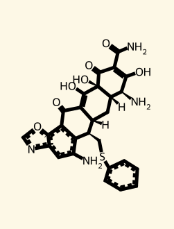 NC(=O)C1=C(O)[C@@H](N)[C@@H]2C[C@H]3C(=C(O)[C@]2(O)C1=O)C(=O)c1c(c(N)cc2ncoc12)[C@@H]3CSc1ccccc1